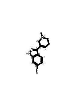 CN1CCC=C(c2n[nH]c3cc(F)ccc23)C1